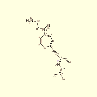 C=C/C(C#CC1=CC=C(N(CC)CCN)C=CC1)=N\C=C(C)C